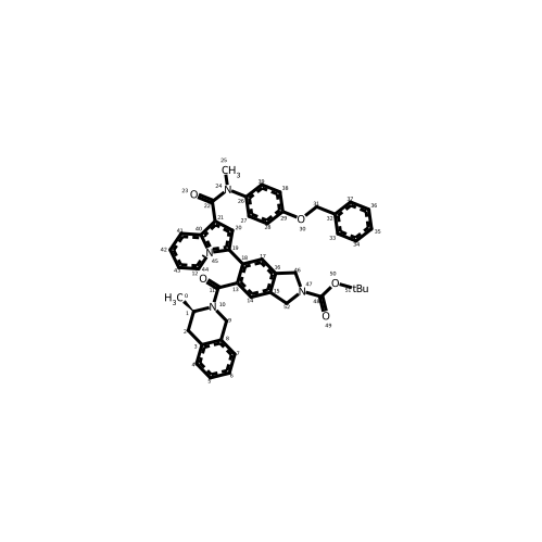 C[C@@H]1Cc2ccccc2CN1C(=O)c1cc2c(cc1-c1cc(C(=O)N(C)c3ccc(OCc4ccccc4)cc3)c3ccccn13)CN(C(=O)OC(C)(C)C)C2